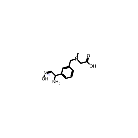 CN(CC(=O)O)Cc1cccc(C(N)/C=N\O)c1